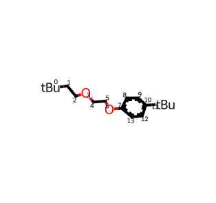 CC(C)(C)CCOCCOc1ccc(C(C)(C)C)cc1